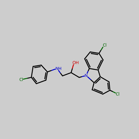 OC(CNc1ccc(Cl)cc1)Cn1c2ccc(Cl)cc2c2cc(Cl)ccc21